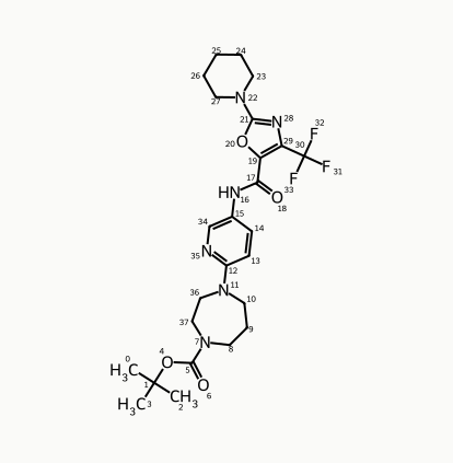 CC(C)(C)OC(=O)N1CCCN(c2ccc(NC(=O)c3oc(N4CCCCC4)nc3C(F)(F)F)cn2)CC1